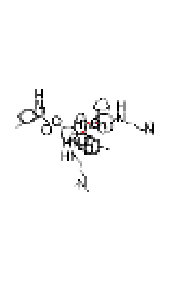 Cc1ccc2[nH]cc(C(=O)OC3CC4CCC3C(C(=O)NC(=O)C3C5CCC(CC5OC(=O)c5c[nH]c6ccc(C)cc56)C3C(=O)NCCCN(C)C)C4C(=O)NCCCN(C)C)c2c1